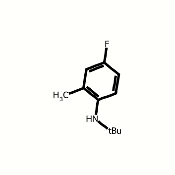 Cc1cc(F)ccc1NC(C)(C)C